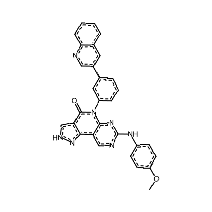 COc1ccc(Nc2ncc3c4n[nH]cc4c(=O)n(-c4cccc(-c5cnc6ccccc6c5)c4)c3n2)cc1